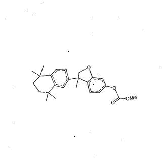 COC(=O)Oc1ccc2c(c1)OCC2(C)c1ccc2c(c1)C(C)(C)CCC2(C)C